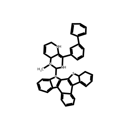 CN1C2C=CCNC2=C(c2cccc(-c3ccccc3)c2)NC1n1c2ccccc2c2c3ccccc3c3c(c21)SC1CC=CC=C31